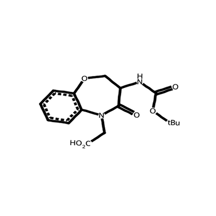 CC(C)(C)OC(=O)NC1COc2ccccc2N(CC(=O)O)C1=O